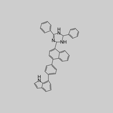 c1ccc(C2=NC(c3ccc(-c4ccc(-c5cccc6cc[nH]c56)cc4)c4ccccc34)NC(c3ccccc3)N2)cc1